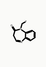 O=C1CC=Nc2ccccc2N1CF